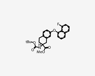 COC(=O)C1(NC(=O)OC(C)(C)C)CCc2ccc(Oc3cccc4cccc(F)c34)cc2C1